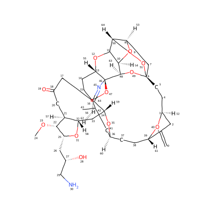 C=C1C[C@@H]2CC[C@@]34C[C@H]5O[C@@H]6C(O[C@H]7CC[C@@H]8CC(=O)C[C@@H]9[C@@H](OC)[C@@H](C[C@H](O)CN)O[C@H]9C[C@H]9O[C@@H](CC[C@@H]1O2)C[C@@H](C)/C9=N\[C@@]7(O8)[C@@H]6O3)[C@H]5O4